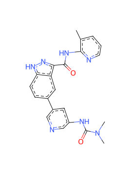 Cc1cccnc1NC(=O)c1n[nH]c2ccc(-c3cncc(NC(=O)N(C)C)c3)cc12